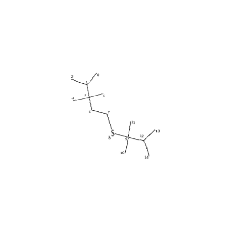 CC(C)C(C)(C)CCSC(C)(C)C(C)C